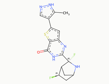 Cc1[nH]ncc1-c1cc2nc([C@@]3(F)NC4CC3[C@H](F)C4)[nH]c(=O)c2s1